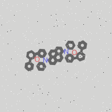 C1=CCCC(N(c2cccc3c2OC2C(c4ccccc4)=CC=CC32)c2ccc3ccc4c(N(c5ccccc5)c5cccc6c7c(oc56)C(c5ccccc5)CCC7)ccc5ccc2c3c54)=C1